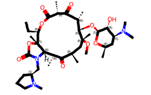 CC[C@H]1OC(=O)[C@H](C)C(=O)[C@H](C)[C@@H](O[C@@H]2O[C@H](C)C[C@H](N(C)C)[C@H]2O)[C@](C)(OC)C[C@@H](C)C(=O)[C@H](C)[C@H]2N(C[C@@H]3CCCN3C)C(=O)O[C@]12C